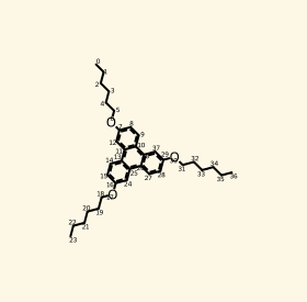 CCCCCCOc1ccc2c(c1)c1ccc(OCCCCCC)cc1c1ccc(OCCCCCC)cc21